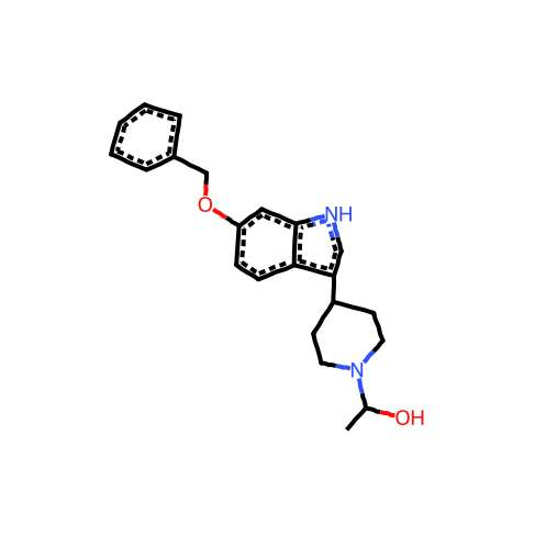 CC(O)N1CCC(c2c[nH]c3cc(OCc4ccccc4)ccc23)CC1